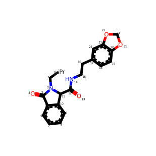 CC(C)CN1C(=O)c2ccccc2C1C(=O)NCCc1ccc2c(c1)OCO2